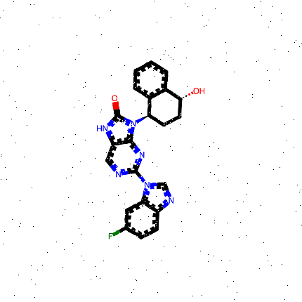 O=c1[nH]c2cnc(-n3cnc4ccc(F)cc43)nc2n1[C@@H]1CC[C@@H](O)c2ccccc21